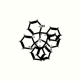 C1=CN[C](c2ccccc2)([Ru]([C]2(c3ccccc3)C=CC=CN2)[C]2(c3ccccc3)C=CC=CN2)C=C1